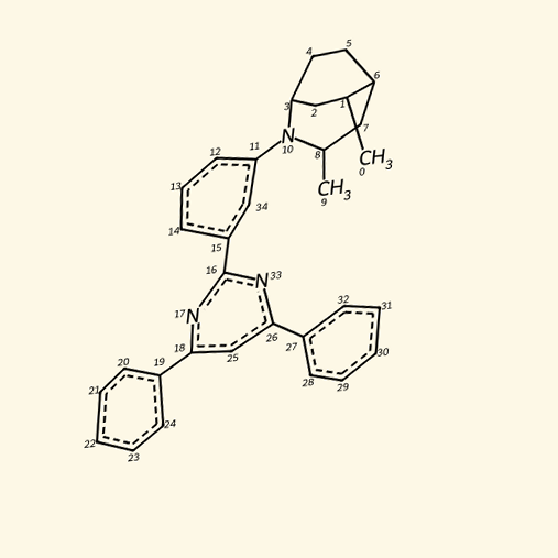 CC1CC2CCC1CC(C)N2c1cccc(-c2nc(-c3ccccc3)cc(-c3ccccc3)n2)c1